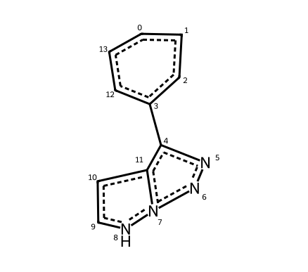 c1ccc(-c2nnn3[nH]ccc23)cc1